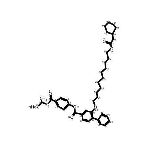 CCCCCCC(C)OC(=O)c1ccc(OC(=O)c2ccc(-c3ccccc3)c(OCCCCCCCCCCCOC(=O)CC3CCCCC3)c2)cc1